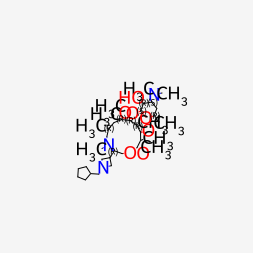 CO[C@]1(C)C[C@@H](C)CN(C)[C@H](C2CN(CC3CCCC3)C2)COC(=O)C(C)(C)C(=O)[C@H](C)[C@H]1O[C@@H]1O[C@H](C)C[C@H](N(C)C)[C@H]1O